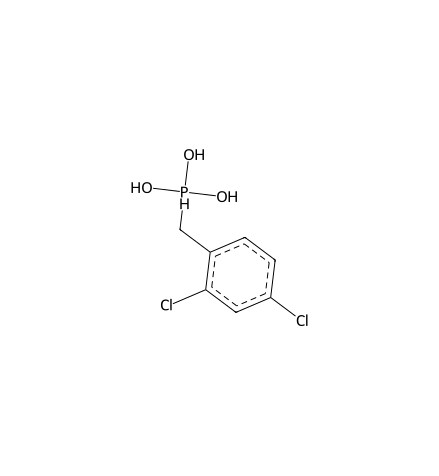 O[PH](O)(O)Cc1ccc(Cl)cc1Cl